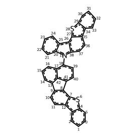 c1ccc2c(c1)sc1c3c(ccc12)-c1cccc2c(-n4c5ccccc5c5c6sc7ccccc7c6ccc54)ccc-3c12